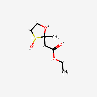 CCOC(=O)CC1(C)OCC[S+]1[O-]